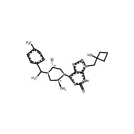 CC[C@@H]1CN(c2nc(=O)[nH]c3c2nnn3CC2(O)CCC2)[C@@H](C)CN1C(C)c1ccc(C(F)(F)F)cc1